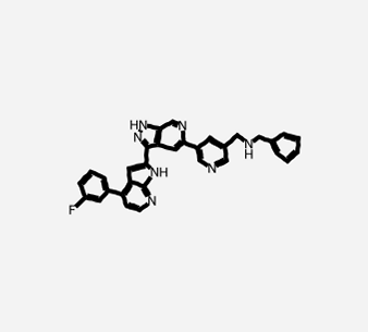 Fc1cccc(-c2ccnc3[nH]c(-c4n[nH]c5cnc(-c6cncc(CNCc7ccccc7)c6)cc45)cc23)c1